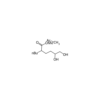 CC(C)=O.CCCCC(CCC(O)CO)C(=O)OC